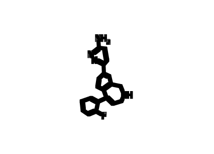 Nc1ccc(-c2ccc3c(c2)CNCC=C3c2ccccc2F)nn1